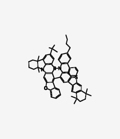 CCCCc1ccc(N2B3c4cc(C(C)(C)C)cc5c4N(c4cc6oc7ccccc7c6c(c43)-c3cc4c(cc32)sc2cc3c(cc24)C(C)(C)CCC3(C)C)C2(C)CCCCC52C)c(-c2ccccc2)c1